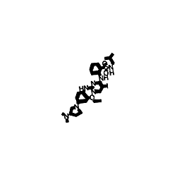 CCOc1cc(N2CC[C@H](N(C)C)C2)ccc1Nc1ncc(I)c(Nc2ccccc2S(=O)(=O)NCC(C)C)n1